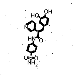 NS(=O)(=O)c1ccc(NC(=O)C(=Cc2ccc(O)c(O)c2)c2cccnc2)cc1